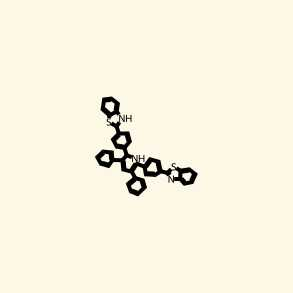 C1=C(c2ccccc2)C(c2ccc(C3Nc4ccccc4S3)cc2)NC(c2ccc(-c3nc4ccccc4s3)cc2)=C1c1ccccc1